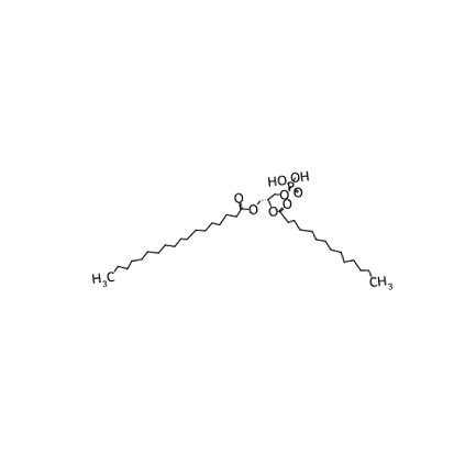 CCCCCCCCCCCCCCCCCC(=O)OC[C@H](COP(=O)(O)O)OC(=O)CCCCCCCCCCCCC